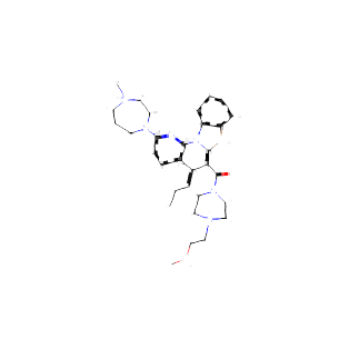 CC/C=C1/C(C(=O)N2CCN(CCOC)CC2)=C2Sc3ccccc3N2c2nc(N3CCCN(C)CC3)ccc21